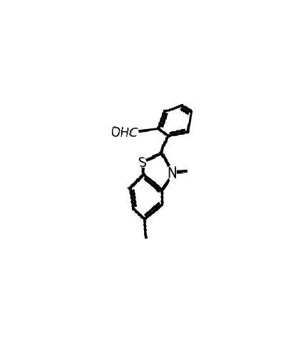 Cc1ccc2c(c1)N(C)C(c1ccccc1C=O)S2